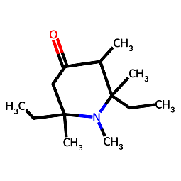 CCC1(C)CC(=O)C(C)C(C)(CC)N1C